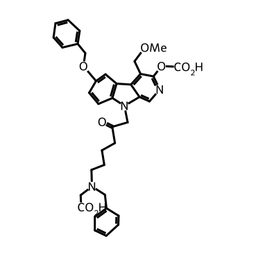 COCc1c(OC(=O)O)ncc2c1c1cc(OCc3ccccc3)ccc1n2CC(=O)CCCCN(CC(=O)O)Cc1ccccc1